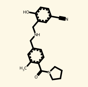 Cc1cc(CNCc2cc(C#N)ccc2O)ccc1C(=O)N1CCCC1